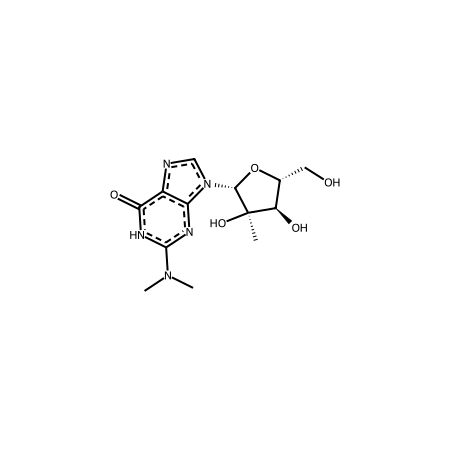 CN(C)c1nc2c(ncn2[C@@H]2O[C@H](CO)[C@@H](O)[C@@]2(C)O)c(=O)[nH]1